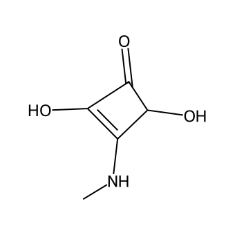 CNC1=C(O)C(=O)C1O